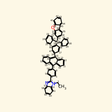 CCn1c(-c2ccc(-c3c4ccccc4c(-c4ccc([Si](c5ccccc5)(c5ccccc5)c5ccc6c(c5)oc5ccccc56)cc4)c4ccccc34)cc2)nc2ccccc21